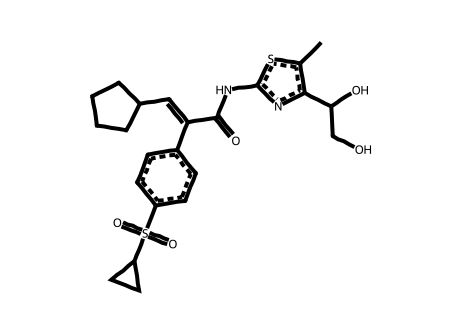 Cc1sc(NC(=O)/C(=C/C2CCCC2)c2ccc(S(=O)(=O)C3CC3)cc2)nc1C(O)CO